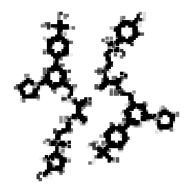 C=C(NCCS(=O)(=O)c1ccc(Cl)cc1)C(=O)NCc1cc(-c2ccc(C(F)(F)F)cc2)nc(N2CCCC2)c1.C=C(NCCS(=O)(=O)c1ccc(Cl)s1)C(=O)NCc1cc(-c2ccc(C(F)(F)F)cc2)nc(N2CCCC2)c1